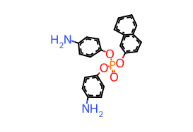 Nc1ccc(OP(=O)(Oc2ccc(N)cc2)Oc2ccc3ccccc3c2)cc1